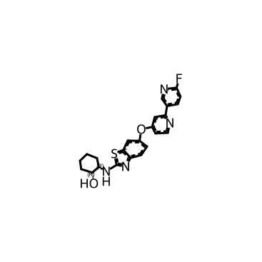 O[C@@H]1CCCC[C@H]1Nc1nc2ccc(Oc3ccnc(-c4ccc(F)nc4)c3)cc2s1